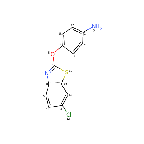 Nc1ccc(Oc2nc3ccc(Cl)cc3s2)cc1